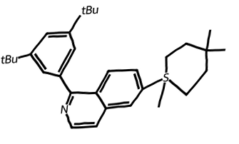 CC1(C)CCS(C)(c2ccc3c(-c4cc(C(C)(C)C)cc(C(C)(C)C)c4)nccc3c2)CC1